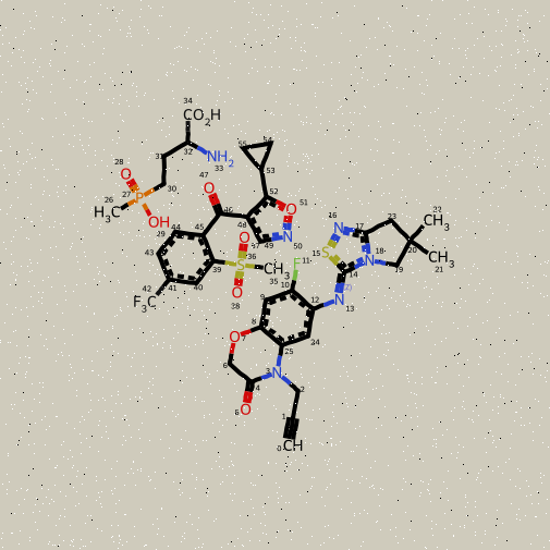 C#CCN1C(=O)COc2cc(F)c(/N=c3\snc4n3CC(C)(C)C4)cc21.CP(=O)(O)CCC(N)C(=O)O.CS(=O)(=O)c1cc(C(F)(F)F)ccc1C(=O)c1cnoc1C1CC1